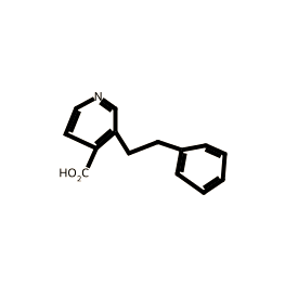 O=C(O)c1ccncc1CCc1ccccc1